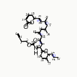 C#CCCOC(=O)NC(/C=C/C=C(\C)CC(C)/C=C(C)\C=C\C1CC=CC(=O)O1)C1CCC(C)C(/C=C/C)O1